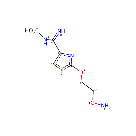 N=C(NC(=O)O)c1csc(OCCON)n1